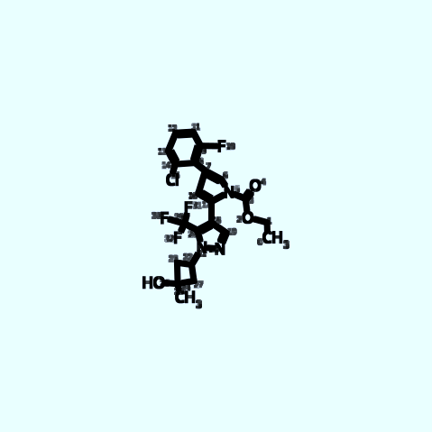 CCOC(=O)n1cc(-c2c(F)cccc2Cl)cc1-c1cnn(C2CC(C)(O)C2)c1C(F)(F)F